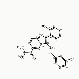 CN(C)C(=O)c1ccc2nc(-c3ccccc3O)c(NCc3cccc(Cl)c3)n2c1